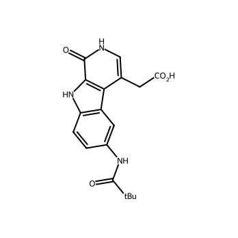 CC(C)(C)C(=O)Nc1ccc2[nH]c3c(=O)[nH]cc(CC(=O)O)c3c2c1